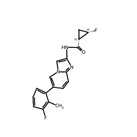 Cc1c(F)cccc1-c1ccc2nc(NC(=O)[C@@H]3C[C@@H]3F)cn2c1